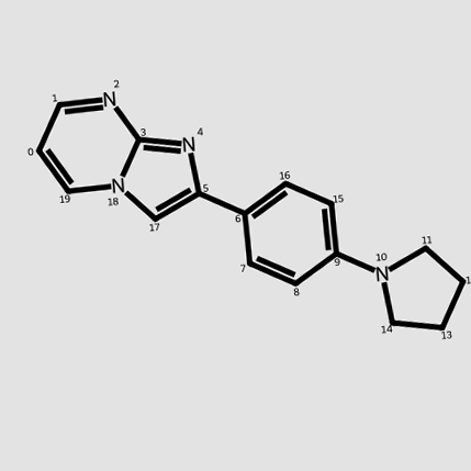 c1cnc2nc(-c3ccc(N4CCCC4)cc3)cn2c1